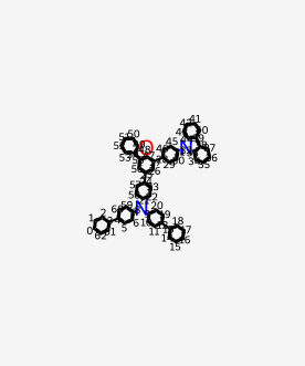 c1ccc(-c2ccc(N(c3ccc(-c4ccccc4)cc3)c3ccc(-c4cc(-c5ccc(-n6c7ccccc7c7ccccc76)cc5)c5oc6ccccc6c5c4)cc3)cc2)cc1